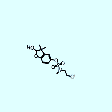 CN(CCCl)S(=O)(=O)Oc1ccc2c(c1)C(C)(C)C(O)O2